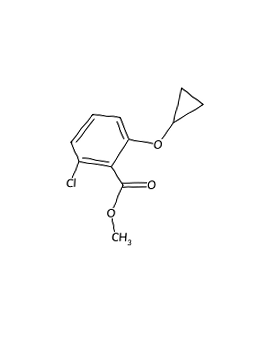 COC(=O)c1c(Cl)cccc1OC1CC1